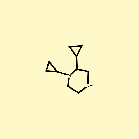 C1CN(C2CC2)C(C2CC2)CN1